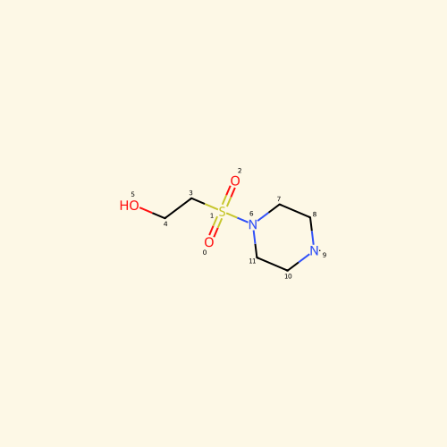 O=S(=O)(CCO)N1CC[N]CC1